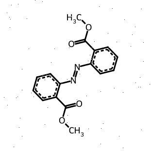 COC(=O)c1ccccc1/N=N/c1ccccc1C(=O)OC